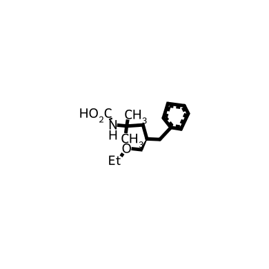 CCOC[C@H](Cc1ccccc1)CC(C)(C)NC(=O)O